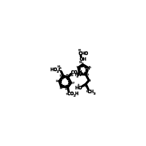 CC(O)Cc1ncc[nH]1.O=C(O)c1ccc(C(=O)O)c(C(=O)O)c1.O=CO